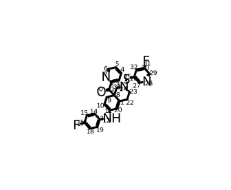 O=C(c1ccccn1)C12CC=C(Nc3ccc(F)cc3)C=C1CCN(Sc1cncc(F)c1)C2